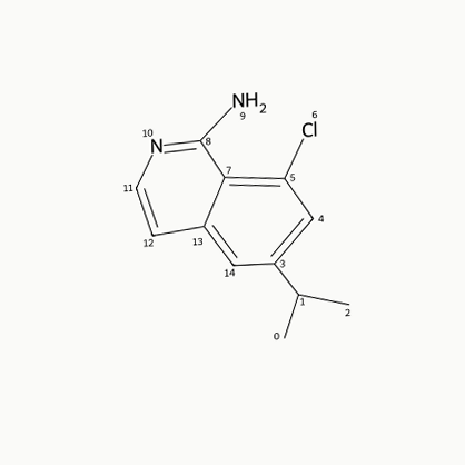 CC(C)c1cc(Cl)c2c(N)nccc2c1